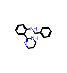 c1ccc(CNc2ccccc2C2=NCCCN2)cc1